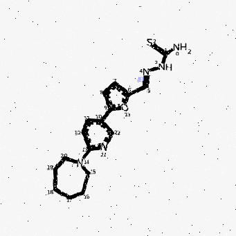 NC(=S)N/N=C/c1ccc(-c2ccc(N3CCCCCC3)nc2)o1